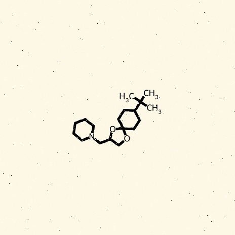 CC(C)(C)C1CCC2(CC1)OCC(CN1CCCCC1)O2